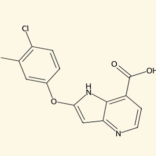 O=C(O)c1ccnc2cc(Oc3ccc(Cl)c(F)c3)[nH]c12